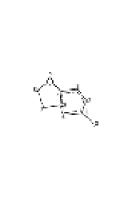 [CH2]c1ccc2c(c1)CCO2